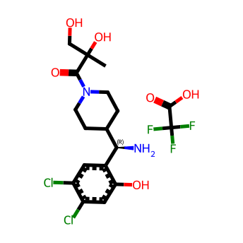 CC(O)(CO)C(=O)N1CCC([C@@H](N)c2cc(Cl)c(Cl)cc2O)CC1.O=C(O)C(F)(F)F